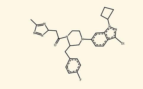 CCc1nn(C2CCC2)c2cc(N3CCN(C(=O)CC4N=NC(C)=N4)C(Cc4ccc(F)cc4)C3)ccc12